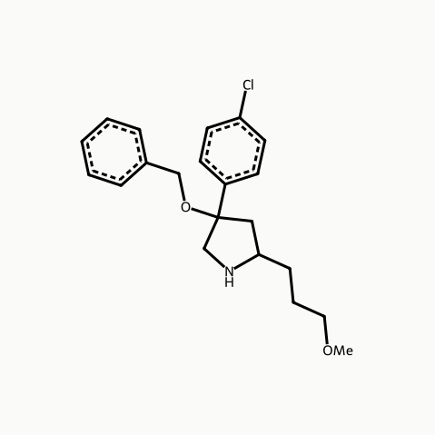 COCCCC1CC(OCc2ccccc2)(c2ccc(Cl)cc2)CN1